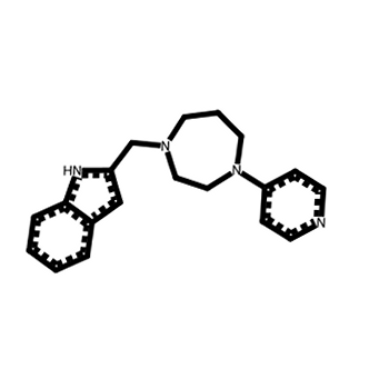 c1ccc2[nH]c(CN3CCCN(c4ccncc4)CC3)cc2c1